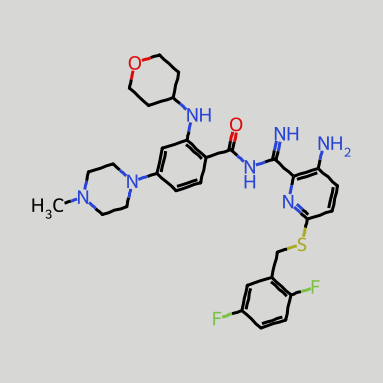 CN1CCN(c2ccc(C(=O)NC(=N)c3nc(SCc4cc(F)ccc4F)ccc3N)c(NC3CCOCC3)c2)CC1